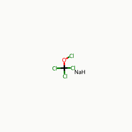 ClOC(Cl)(Cl)Cl.[NaH]